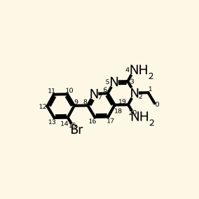 CCN1C(N)=Nc2nc(-c3ccccc3Br)ccc2C1N